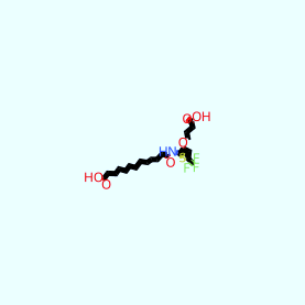 O=C(O)CCCCCCCCCCCC(=O)Nc1sc(C(F)(F)F)cc1OCCCC(=O)O